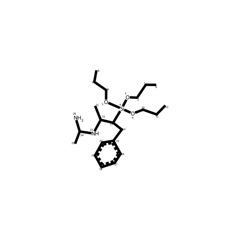 CCCO[Si](OCCC)(OCCC)C(Cc1ccccc1)C(C)NC(C)N